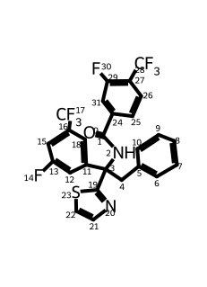 O=C(NC(Cc1ccccc1)(c1cc(F)cc(C(F)(F)F)c1)c1nccs1)c1ccc(C(F)(F)F)c(F)c1